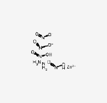 N.N.O=NO.O=NO.O=N[O-].O=N[O-].[Zn+2]